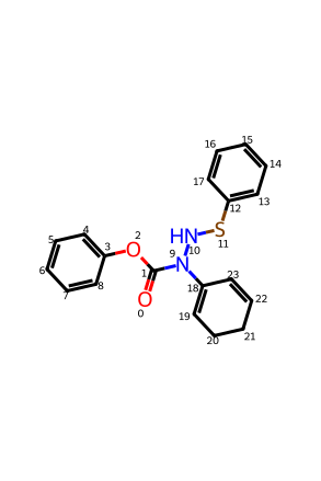 O=C(Oc1ccccc1)N(NSc1ccccc1)C1=CCCC=C1